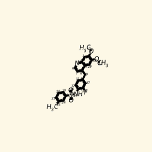 COc1cc2nccc(Cc3ccc(NS(=O)(=O)c4cccc(C)c4)c(F)c3)c2cc1OC